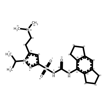 CC(C)n1nc(S(=O)(=O)NC(=O)Nc2c3c(cc4c2CCC4)CCC3)cc1CCN(C)C